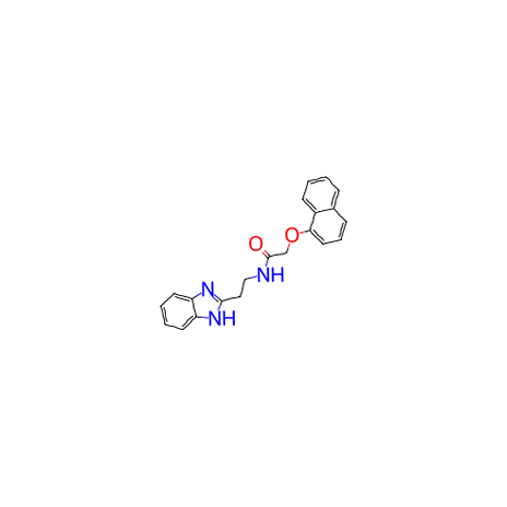 O=C(COc1cccc2ccccc12)NCCc1nc2ccccc2[nH]1